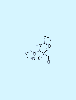 CC(=O)NC(n1cncn1)C(Cl)(Cl)CCl